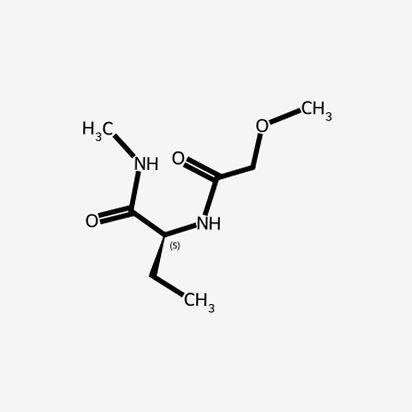 CC[C@H](NC(=O)COC)C(=O)NC